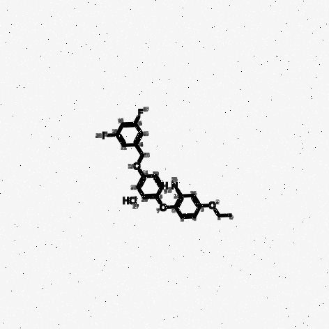 CCOc1ccc(Oc2ccc(OCc3cc(F)cc(F)c3)cc2)c(N)c1.Cl